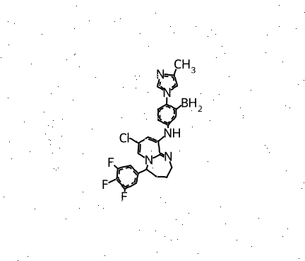 Bc1cc(NC2=CC(Cl)=CN3C2=NCCCC3c2cc(F)c(F)c(F)c2)ccc1-n1cnc(C)c1